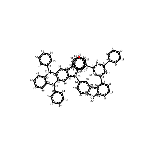 c1ccc(-c2nc(-c3ccccc3)nc(-c3cccc4oc5ccc(-n6c7ccccc7c7cc8c(cc76)N(c6ccccc6)c6ccccc6N8c6ccccc6)cc5c34)n2)cc1